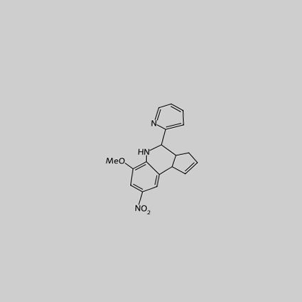 COc1cc([N+](=O)[O-])cc2c1NC(c1ccccn1)C1CC=CC21